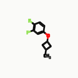 CC1CC(Oc2ccc(F)c(F)c2)C1